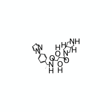 C[C@@H](NC(=O)[C@H](O)[C@@H](O)C(=O)N1C[C@H]2CNC[C@H]2C1)c1ccc(-n2cccn2)cc1